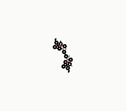 C=Cc1ccc(C2(C3=CC(C)CC=C3C)c3ccccc3-c3ccc(N(c4ccc(-c5ccc(N(c6ccc7c(c6)C(C6=C(C)C=C[C@@H](C)C6)(c6ccc(C=C)cc6)c6ccccc6-7)c6c(F)cccc6F)cc5)cc4)c4c(F)cccc4F)cc32)cc1